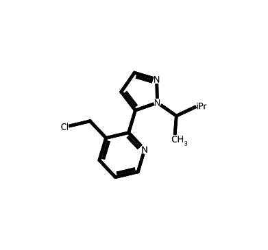 CC(C)C(C)n1nccc1-c1ncccc1CCl